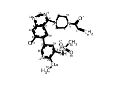 C=CC(=O)N1CCN(c2ncnc3cc(Cl)c(-c4cnc(OC)c(NS(C)(=O)=O)c4)cc23)CC1